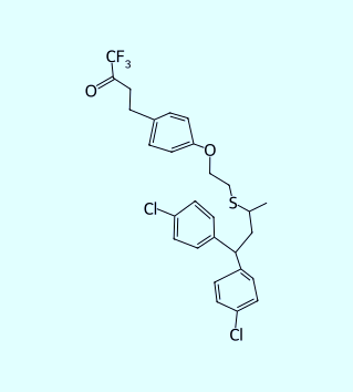 CC(CC(c1ccc(Cl)cc1)c1ccc(Cl)cc1)SCCOc1ccc(CCC(=O)C(F)(F)F)cc1